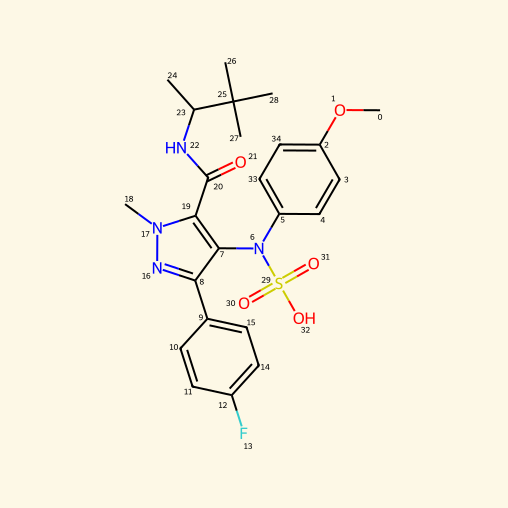 COc1ccc(N(c2c(-c3ccc(F)cc3)nn(C)c2C(=O)NC(C)C(C)(C)C)S(=O)(=O)O)cc1